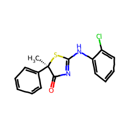 C[C@]1(c2ccccc2)SC(Nc2ccccc2Cl)=NC1=O